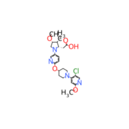 COc1cc(N2CCC(Oc3ccc(N4C[C@H](OC)[C@@H](C)[C@@H]4CC(=O)O)cn3)CC2)c(Cl)cn1